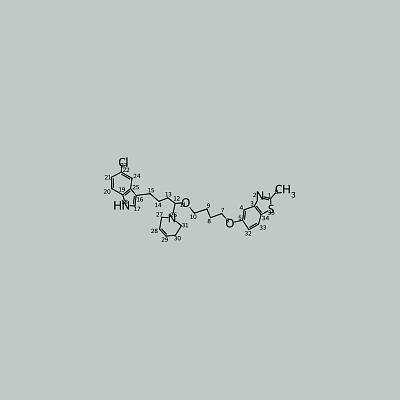 Cc1nc2cc(OCCCCOC(CCCc3c[nH]c4ccc(Cl)cc34)N3CC=CCC3)ccc2s1